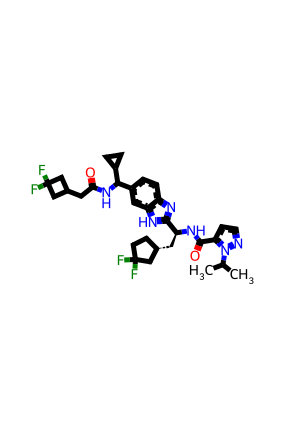 CC(C)n1nccc1C(=O)N[C@@H](C[C@H]1CCC(F)(F)C1)c1nc2ccc(C(NC(=O)CC3CC(F)(F)C3)C3CC3)cc2[nH]1